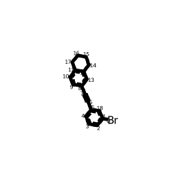 Brc1cccc(C#Cc2ccc3c(c2)CCCC3)c1